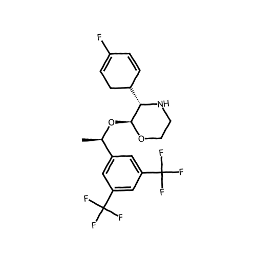 C[C@@H](O[C@@H]1OCCN[C@H]1C1C=CC(F)=CC1)c1cc(C(F)(F)F)cc(C(F)(F)F)c1